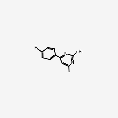 CCCc1nc(C)cc(-c2ccc(F)cc2)n1